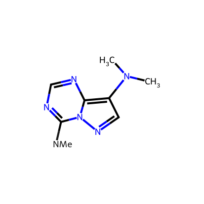 CNc1ncnc2c(N(C)C)cnn12